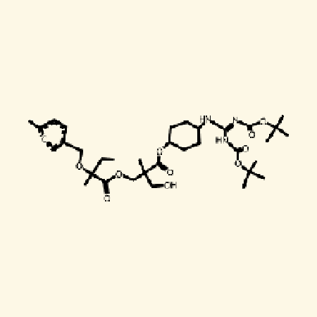 CCC(C)(OCc1ccc(C)cc1)C(=O)OCC(C)(CO)C(=O)OC1CCC(N/C(=N/C(=O)OC(C)(C)C)NC(=O)OC(C)(C)C)CC1